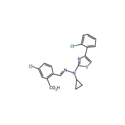 O=C(O)c1cc(Cl)ccc1C=NN(c1nc(-c2ccccc2Cl)cs1)C1CC1